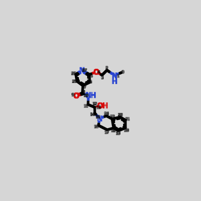 CNCCOc1cc(C(=O)NC[C@H](O)CN2CCc3ccccc3C2)ccn1